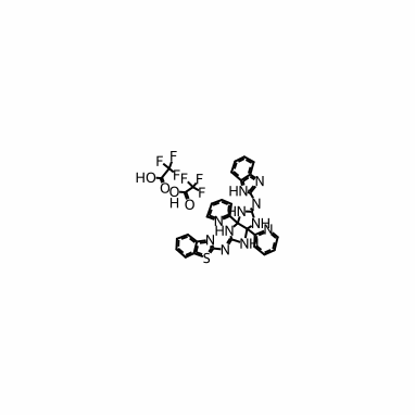 O=C(O)C(F)(F)F.O=C(O)C(F)(F)F.c1ccc(C23NC(=Nc4nc5ccccc5[nH]4)NC2(c2ccccn2)NC(=Nc2nc4ccccc4s2)N3)nc1